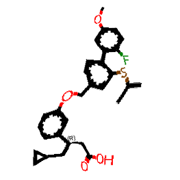 COc1ccc(F)c(-c2ccc(COc3cccc([C@@H](CC(=O)O)CC4CC4)c3)cc2SC(C)C)c1